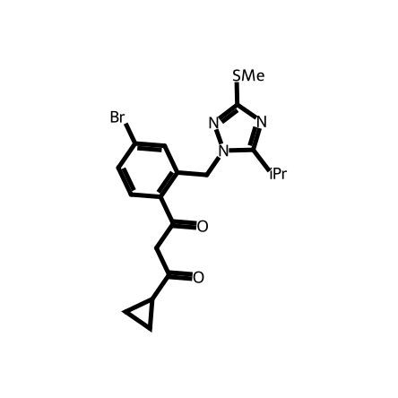 CSc1nc(C(C)C)n(Cc2cc(Br)ccc2C(=O)CC(=O)C2CC2)n1